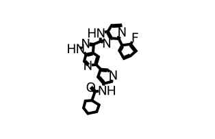 O=C(Nc1cncc(-c2cc3c(-c4nc5c(-c6ccccc6F)nccc5[nH]4)n[nH]c3cn2)c1)C1CCCCC1